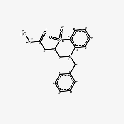 O=C(CC1CN(Cc2ccccc2)c2ccccc2S1(=O)=O)NO